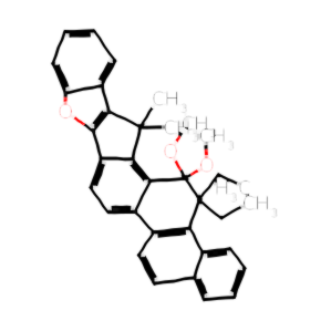 CCC1(CC)c2c(ccc3ccccc23)-c2ccc3c(c2C1(OC)OC)C(C)(C)c1c-3oc2ccccc12